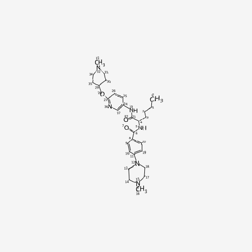 CCCCC(NC(=O)c1ccc(N2CCN(C)CC2)cc1)C(=O)Nc1ccc(OC2CCN(C)CC2)nc1